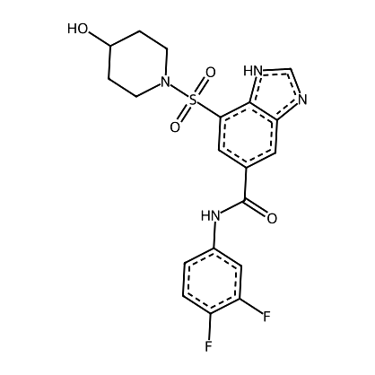 O=C(Nc1ccc(F)c(F)c1)c1cc(S(=O)(=O)N2CCC(O)CC2)c2[nH]cnc2c1